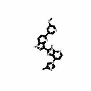 COc1cncc(-c2ccc3[nH]nc(-c4nc5c(-n6cnc(C)c6)ccnc5[nH]4)c3n2)c1